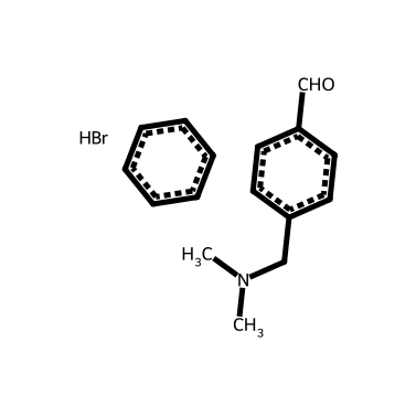 Br.CN(C)Cc1ccc(C=O)cc1.c1ccccc1